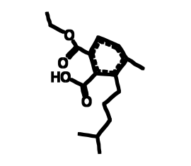 CCOC(=O)c1ccc(C)c(CCCC(C)C)c1C(=O)O